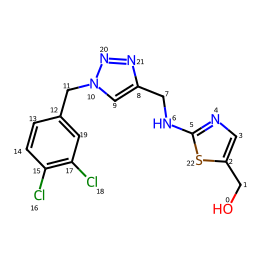 OCc1cnc(NCc2cn(Cc3ccc(Cl)c(Cl)c3)nn2)s1